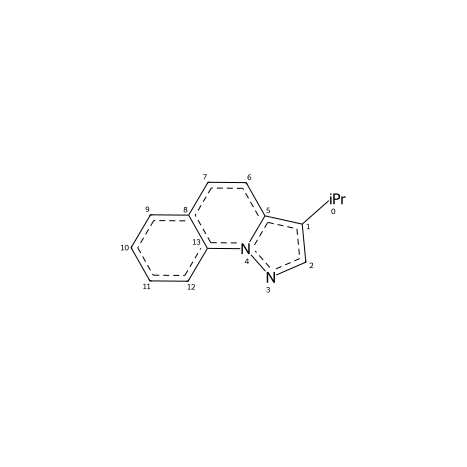 CC(C)c1cnn2c1ccc1ccccc12